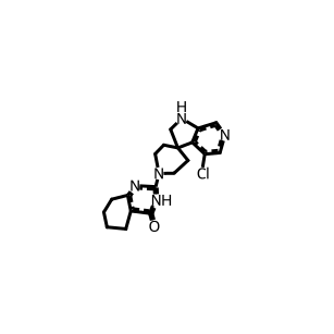 O=c1[nH]c(N2CCC3(CC2)CNc2cncc(Cl)c23)nc2c1CCCC2